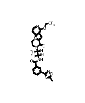 [2H]C([2H])(NC(=O)c1cccc(-c2noc(C)n2)c1)C([2H])([2H])N1CCn2c(cc3c(OCC(F)(F)F)nccc32)C1=O